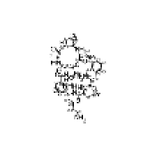 CC(C)C[C@@H]1NC(=O)[C@@H](C)NC(=O)[C@@H](NC(=O)[C@H](CO)NC(=O)[C@@H](CCCCN)NC(=O)[C@@H](CC(C)C)NC(=O)[C@H](N)Cc2ccccc2)[C@H](C(N)=O)OC(=O)[C@@H](CC(C)C)NC1=O